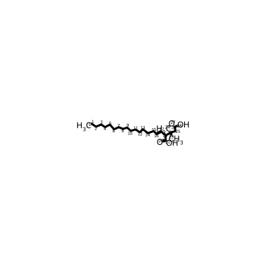 CCCCCCCCCCCCCCCCC=CC(C(=O)O)C(C)(C)CC(=O)O